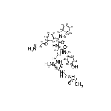 CCC(=O)NCCNC(=O)/N=C(/N)NCCC[C@@H](NC(=O)[C@H](c1cccc(OCCCN)c1)N1Cc2ccccc2C1)C(=O)NCc1ccc(O)cc1